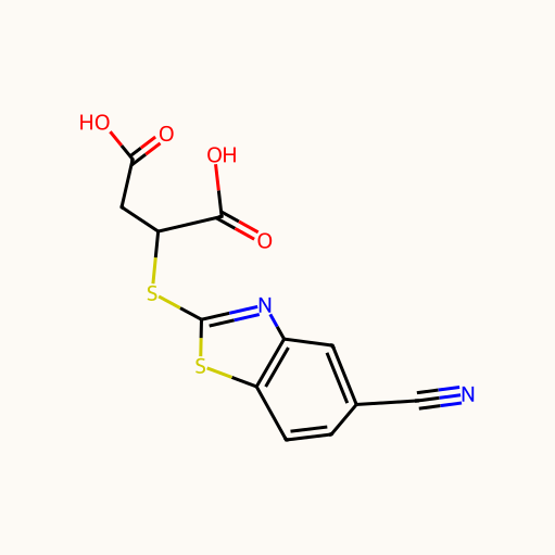 N#Cc1ccc2sc(SC(CC(=O)O)C(=O)O)nc2c1